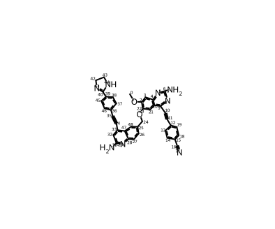 COc1cc2nc(N)nc(C#Cc3ccc(C#N)cc3)c2cc1OCc1ccc2nc(N)cc(C#Cc3ccc(C4=NCCN4)cc3)c2c1